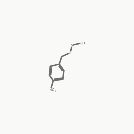 O=[N+]([O-])c1ccc(CSSS)cc1